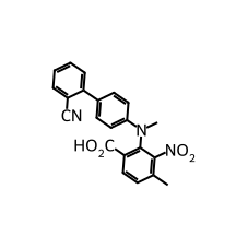 Cc1ccc(C(=O)O)c(N(C)c2ccc(-c3ccccc3C#N)cc2)c1[N+](=O)[O-]